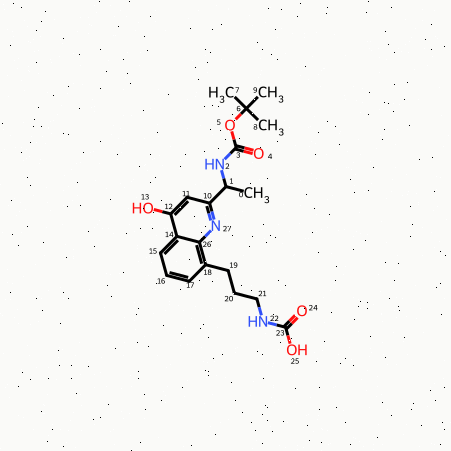 CC(NC(=O)OC(C)(C)C)c1cc(O)c2cccc(CCCNC(=O)O)c2n1